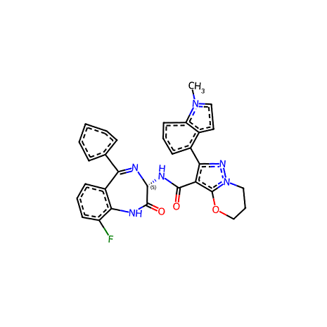 Cn1ccc2c(-c3nn4c(c3C(=O)N[C@H]3N=C(c5ccccc5)c5cccc(F)c5NC3=O)OCCC4)cccc21